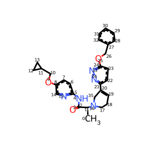 C[C@@H](C(=O)Nc1ccc(OCC2CC2)cn1)N1CCC=C(c2ccc(OCc3ccccc3)nn2)C1